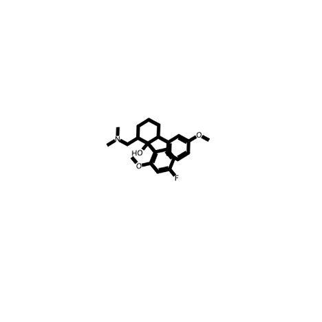 COc1cccc(C2CCCC(CN(C)C)C2(O)c2ccc(F)cc2OC)c1